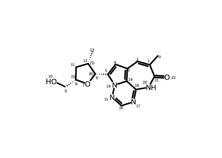 CC1=Cc2cc([C@@H]3O[C@H](CO)C[C@@H]3C)n3ncnc(c23)NC1=O